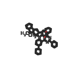 CC1(C)c2ccccc2-c2cc3c4ccccc4n(-c4ccc(-c5ccccc5)cc4-c4nc(-c5ccccc5)nc(-c5ccccc5)n4)c3cc21